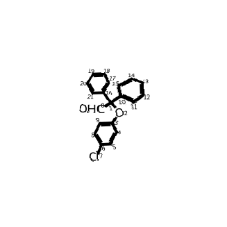 O=CC(Oc1ccc(Cl)cc1)(c1ccccc1)c1ccccc1